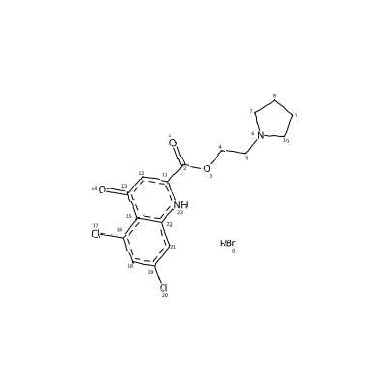 Br.O=C(OCCN1CCCC1)c1cc(=O)c2c(Cl)cc(Cl)cc2[nH]1